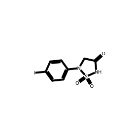 O=C1CN(c2ccc(I)cc2)S(=O)(=O)N1